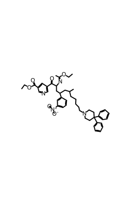 CCOC(=O)c1cncc(C(=O)C(CC(CC(C)CCCCCN2CCC(c3ccccc3)(c3ccccc3)CC2)c2cccc([N+](=O)[O-])c2)N=C(C)OCC)c1